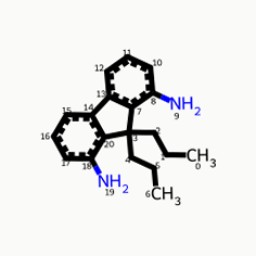 CCCC1(CCC)c2c(N)cccc2-c2cccc(N)c21